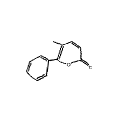 Cc1ccc(=O)oc1-c1ccccc1